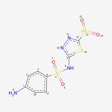 Nc1ccc(S(=O)(=O)Nc2nnc([SH](=O)=O)s2)cc1